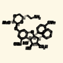 COc1ccc([C@@]23Oc4cc(O[C@@H]5O[C@@H](CCN)CO[C@H]5OC)cc(OC)c4[C@]2(O)[C@H](O)[C@H](C(=O)O)[C@H]3c2ccccc2)cc1